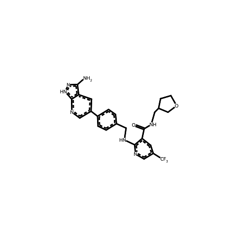 Nc1n[nH]c2ncc(-c3ccc(CNc4ncc(C(F)(F)F)cc4C(=O)NCC4CCOC4)cc3)cc12